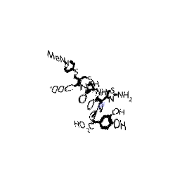 CN[n+]1ccc(SCC2=C(C(=O)[O-])N3C(=O)[C@@H](NC(=O)/C(=N\O[C@H](C(=O)O)c4ccc(O)c(O)c4)c4csc(N)n4)[C@H]3SC2)cc1